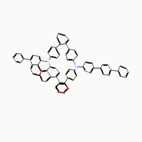 c1ccc(-c2ccc(-c3ccc(N(c4ccc(-c5ccccc5)cc4)c4ccc(-c5ccccc5-c5ccc(N(c6ccc(-c7ccccc7)c7ccccc67)c6ccc(-c7ccccc7)c7ccccc67)cc5)cc4)cc3)cc2)cc1